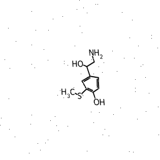 CSc1cc(C(O)CN)ccc1O